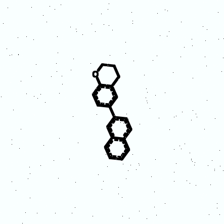 c1ccc2cc(-c3ccc4c(c3)CCCO4)ccc2c1